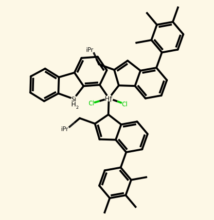 Cc1ccc(-c2cccc3c2C=C(CC(C)C)[CH]3[Hf]([Cl])([Cl])([c]2cccc3c2[SiH2]c2ccccc2-3)[CH]2C(CC(C)C)=Cc3c(-c4ccc(C)c(C)c4C)cccc32)c(C)c1C